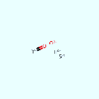 [O-2].[O]=[Y+].[Sr+2].[Ti+4]